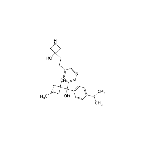 CC(C)c1ccc([C@](O)(c2cncc(CCC3(O)CNC3)c2)C2(C)CN(C)C2)cc1